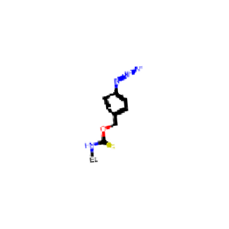 CCNC(=S)OCc1ccc(N=[N+]=[N-])cc1